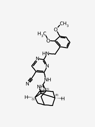 COc1cccc(CNc2ncc(C#N)c(NC[C@]34CC5C[C@H](C3)[C@@H](N)[C@@H](C5)C4)n2)c1OC